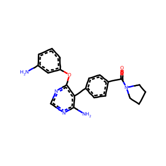 Nc1cccc(Oc2ncnc(N)c2-c2ccc(C(=O)N3CCCC3)cc2)c1